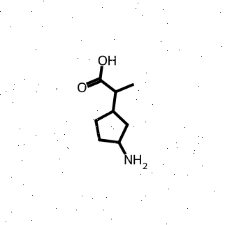 CC(C(=O)O)C1CCC(N)C1